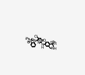 CCCC1(CC)CNCc2cc(Nc3ncc(Cl)c(Nc4ccccc4S(=O)(=O)C(C)C)n3)c(OC)cc21